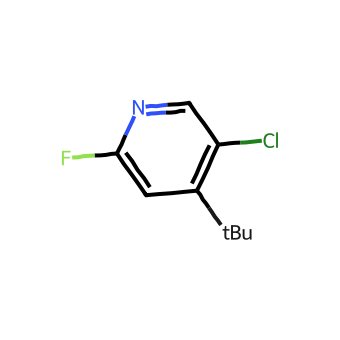 CC(C)(C)c1cc(F)ncc1Cl